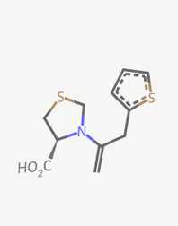 C=C(Cc1cccs1)N1CSC[C@@H]1C(=O)O